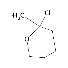 [CH2]C1(Cl)CCCCO1